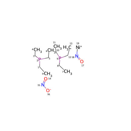 CCP(CC)CC.CCP(CC)CC.O=N[O-].O=[N][Ni+]